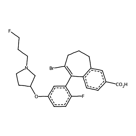 O=C(O)c1ccc2c(c1)CCCC(Br)=C2c1cc(OC2CCN(CCCF)C2)ccc1F